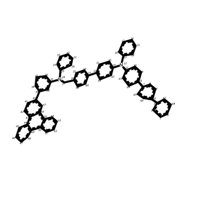 c1ccc(-c2ccc(-c3ccc(N(c4ccccc4)c4ccc(-c5ccc(CN(c6ccccc6)c6cccc(-c7ccc8c9ccccc9c9ccccc9c8c7)c6)cc5)cc4)cc3)cc2)cc1